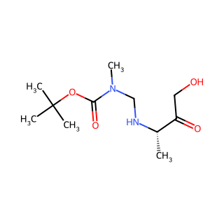 C[C@H](NCN(C)C(=O)OC(C)(C)C)C(=O)CO